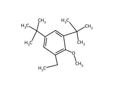 CCc1cc(C(C)(C)C)cc(C(C)(C)C)c1OC